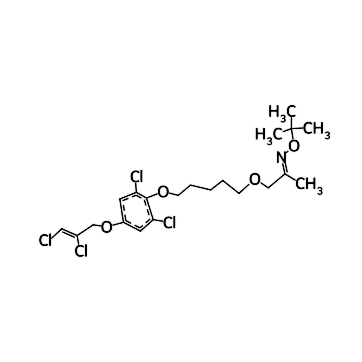 CC(COCCCCCOc1c(Cl)cc(OCC(Cl)=CCl)cc1Cl)=NOC(C)(C)C